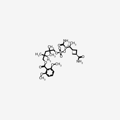 COc1cccc(OC)c1C(=O)OCC(C)(C)CC(C)(C)COS(=O)(=O)ON(C(N)=O)[C@@H](C)[C@H]1C[C@H](C(N)=O)C1